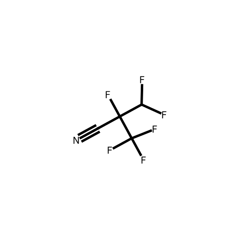 N#CC(F)(C(F)F)C(F)(F)F